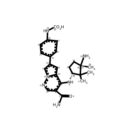 CC1(C)[C@H](Nc2c(C(N)=O)cnn3cc(-c4ccc(NC(=O)O)cc4)cc23)CC[C@]1(C)N